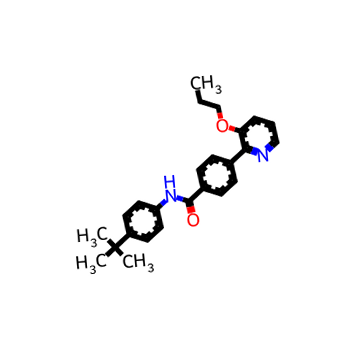 CCCOc1cccnc1-c1ccc(C(=O)Nc2ccc(C(C)(C)C)cc2)cc1